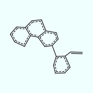 C=Cc1ccccc1-c1ccc2ccc3ccccc3c2c1